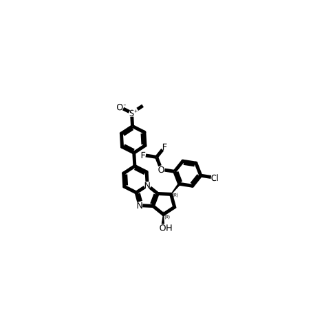 C[S+]([O-])c1ccc(-c2ccc3nc4c(n3c2)[C@@H](c2cc(Cl)ccc2OC(F)F)C[C@H]4O)cc1